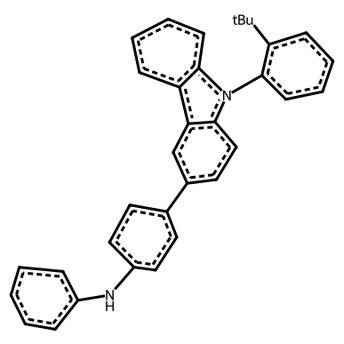 CC(C)(C)c1ccccc1-n1c2ccccc2c2cc(-c3ccc(Nc4ccccc4)cc3)ccc21